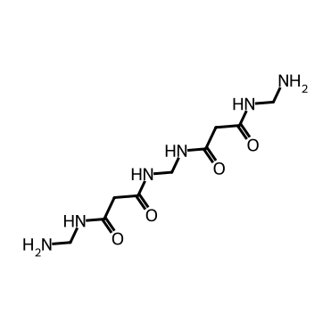 NCNC(=O)CC(=O)NCNC(=O)CC(=O)NCN